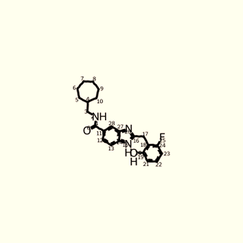 O=C(NCC1CCCCCC1)c1ccc2[nH]c(Cc3c(O)cccc3F)nc2c1